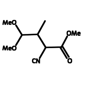 [C-]#[N+]C(C(=O)OC)C(C)C(OC)OC